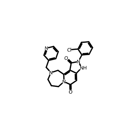 O=c1c2c3n(c(=O)cc2[nH]n1-c1ccccc1Cl)CCCN(Cc1cccnc1)C3